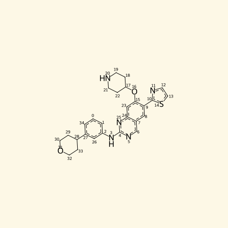 c1cc(Nc2ncc3cc(-c4nccs4)c(OC4CCNCC4)cc3n2)cc(C2CCOCC2)c1